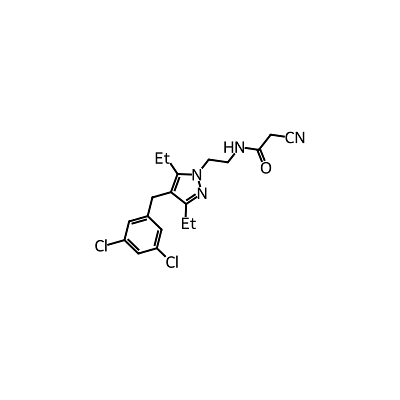 CCc1nn(CCNC(=O)CC#N)c(CC)c1Cc1cc(Cl)cc(Cl)c1